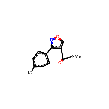 CCc1ccc(-c2nocc2C(=O)NC)cc1